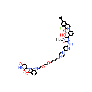 Cn1cc(-c2cccc(-n3ccc4cc(C5CC5)cc(F)c4c3=O)c2CO)nc(Nc2ccc(N3CCN(CCCCCOCCOCCNc4cccc5c4CN(C4CCC(=O)NC4=O)C5=O)CC3)cn2)c1=O